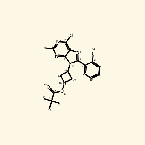 Cc1nc(Cl)c2nc(-c3ccccc3Cl)n(C3CN(OC(=O)C(C)(C)C)C3)c2n1